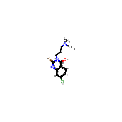 CN(C)CCCn1c(=S)[nH]c2cc(Cl)ccc2c1=O